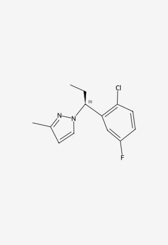 CC[C@@H](c1cc(F)ccc1Cl)n1ccc(C)n1